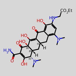 CCOC(=O)CNc1cc(N(C)C)c2c(c1O)C(=O)C1=C(O)[C@@]3(O)C(=O)C(C(N)=O)=C(O)[C@@H](N(C)C)[C@H]3C[C@H]1C2